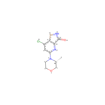 C[C@@H]1COCCN1c1cc(Cl)c2s[nH]c(=O)c2n1